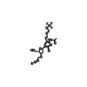 CC(=O)Nc1nc(=O)n(C2CC(OCN=[N+]=[N-])C(CO)O2)cc1/C=C/N=COC(F)(F)F